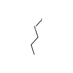 CCCSI